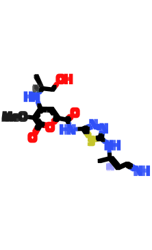 COc1c(N[C@@H](C)CO)cc(C(=O)Nc2nnc(N/C(C)=C\C=N)s2)oc1=O